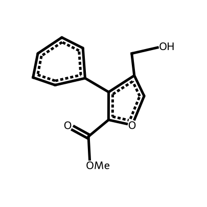 COC(=O)c1occ(CO)c1-c1ccccc1